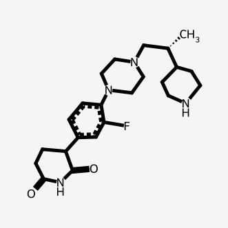 C[C@@H](CN1CCN(c2ccc(C3CCC(=O)NC3=O)cc2F)CC1)C1CCNCC1